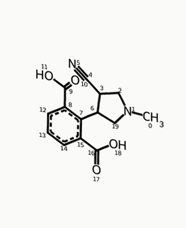 CN1CC(C#N)C(c2c(C(=O)O)cccc2C(=O)O)C1